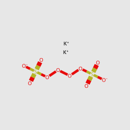 O=S(=O)([O-])OOOOS(=O)(=O)[O-].[K+].[K+]